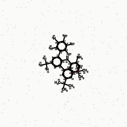 [2H]c1c([2H])c([2H])c(-c2cc(C([2H])([2H])[2H])cc(-c3cc(C(C)(C)C)cc(C(C)(C)C)c3)c2Nc2ccccc2N)c([2H])c1[2H]